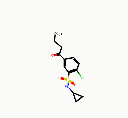 O=C(O)CCC(=O)c1ccc(Cl)c(S(=O)(=O)NC2CC2)c1